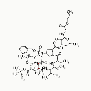 C=CCOC(=O)CNC(=O)C(=O)C(CCC)NC(=O)[C@@H]1C[C@@H](NC(=O)OCc2ccccc2)CN1C(=O)C(NC(=O)C(NC(=O)C(CCC(=O)OC(C)(C)C)NC(=O)C(CCC(=O)OC(C)(C)C)NC(C)=O)C(C)C)C(C)C